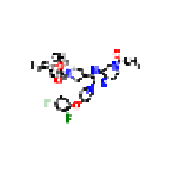 CC(=O)N1CCc2nc(N3CCC(Oc4ccc(F)cc4F)CC3)c(C3=CCN(C(=O)OC(C)(C)C)CC3)nc2C1